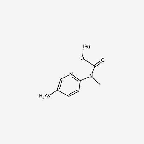 CN(C(=O)OC(C)(C)C)c1ccc([AsH2])cn1